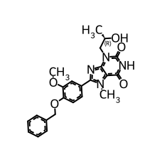 COc1cc(-c2nc3c(c(=O)[nH]c(=O)n3C[C@@H](C)O)n2C)ccc1OCc1ccccc1